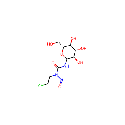 O=NN(CCCl)C(=O)NC1O[C@H](CO)[C@@H](O)[C@H](O)[C@H]1O